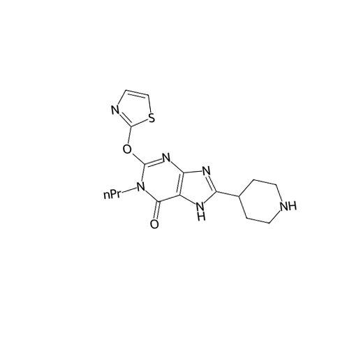 CCCn1c(Oc2nccs2)nc2nc(C3CCNCC3)[nH]c2c1=O